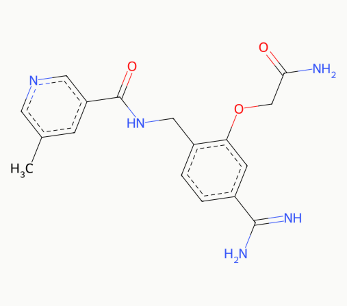 Cc1cncc(C(=O)NCc2ccc(C(=N)N)cc2OCC(N)=O)c1